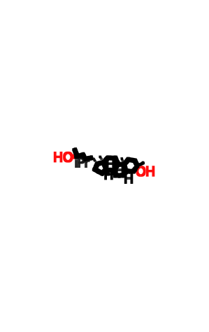 CC(C)C(C)(O)CCC[C@H]1CC[C@H]2[C@@H]3CC[C@H]4C[C@@](C)(O)CC[C@]4(C)[C@H]3CC[C@]12C